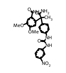 COc1cc(C(N)=O)c(C(C)(C(N)=O)c2ccc(NC(=O)Nc3cccc([N+](=O)[O-])c3)cc2)cc1OC